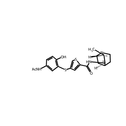 CC(=O)Nc1ccc(O)c(Sc2csc(C(=O)N[C@@H]3C4CCN(CC4)[C@H]3C)c2)c1